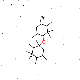 CC(C)C1CC(C)C(OC2(C)CC(C)C(C)C(C)(C)C2C)C(C)(C)C1C